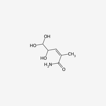 CC(=CC(O)C(O)O)C(N)=O